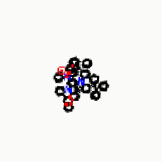 c1ccc(-c2ccc3c(c2)N(c2ccccc2-c2ccccc2)c2cc(N4c5ccccc5Oc5ccccc54)cc4c2B3c2ccc([Si](c3ccccc3)(c3ccccc3)c3ccccc3)cc2N4c2cccc([Si](c3ccccc3)(c3ccccc3)c3ccccc3)c2)cc1